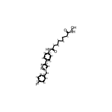 O=C(CCCCCCC(=O)Nc1ccc(-c2cn(Cc3ccc(F)cc3)nn2)cc1)NO